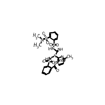 CCCCOC(=O)c1ccccc1S(=O)(=O)NN(C(=N)NS(=O)(=O)c1ccccc1S(=O)(=O)N(C)C)c1nccc(C)n1